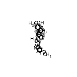 COc1ccc2nnn(CC(=O)[C@H]3CC[C@H]4[C@@H]5CC[C@@H]6C[C@](C)(O)CC[C@]6(C)[C@H]5CC[C@]34C)c2c1